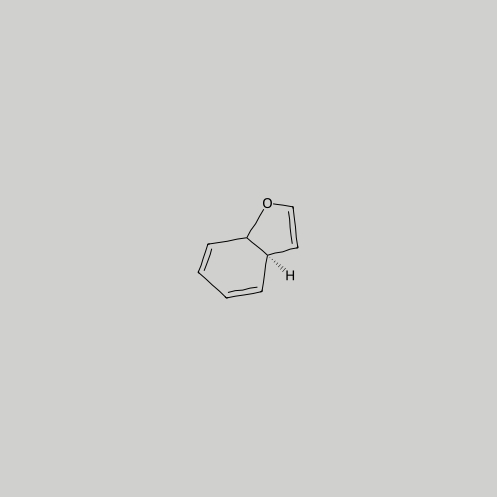 C1=CC2OC=C[C@H]2C=C1